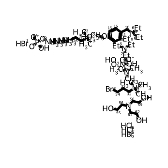 Br.Br.CCN(CC)CC.CC[N+](CC)(CC)Cc1ccccc1.CN(C)C.C[N+](C)(C)CCBr.C[N+](C)(C)CCCBr.Cl.Cl.N.N.N.N.N.O=C([O-])O.O=P([O-])([O-])O.O=S(=O)(O)O.O=[N+]([O-])O.OCCN(CCO)CCO